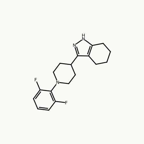 Fc1cccc(F)c1N1CCC(c2n[nH]c3c2CCCC3)CC1